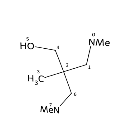 CNCC(C)(CO)CNC